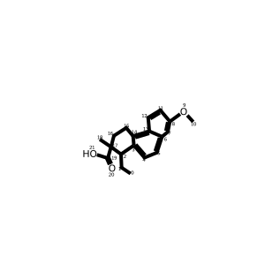 CCC1c2ccc3cc(OC)ccc3c2CCC1(C)C(=O)O